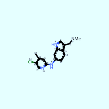 CNCc1c[nH]c2cc(Nc3cc(C)c(Cl)cn3)ccc12